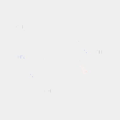 C=CCNc1nc(C)c(C=CC(=O)N(C)C)s1